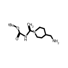 C=C(NC(=O)OC(C)(C)C)N1CCC(CN)CC1